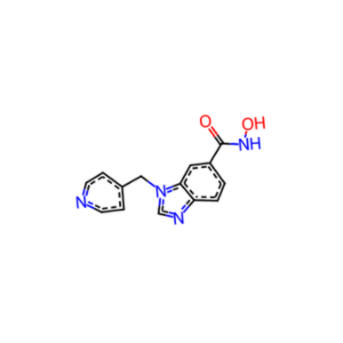 O=C(NO)c1ccc2ncn(Cc3ccncc3)c2c1